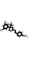 Nc1ccc(/C=C/C2=NOC(c3cc(Cl)cc(Cl)c3)(C(F)(F)F)C2)cc1